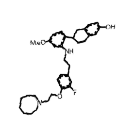 COc1ccc(C2CCc3cc(O)ccc3C2)c(NCCc2ccc(OCCN3CCCCCCC3)c(F)c2)c1